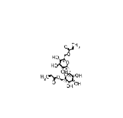 C=CC(=O)OC[C@H]1O[C@H](C[C@H]2O[C@H](COC(=O)C=C)[C@@H](O)[C@H](O)[C@H]2O)[C@H](O)[C@@H](O)[C@@H]1O